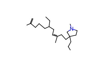 C=C(C)CCCC(CC)C/C=C(/C)CCC1(CCC)CCN(C)C1